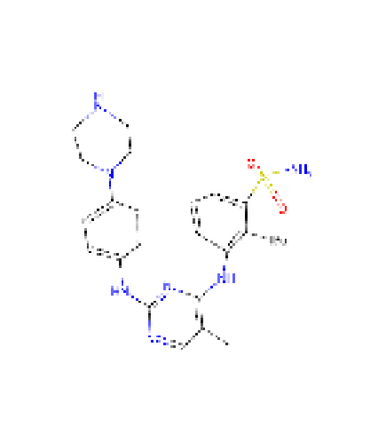 Cc1cnc(Nc2ccc(N3CCNCC3)cc2)nc1Nc1cccc(S(N)(=O)=O)c1C(C)(C)C